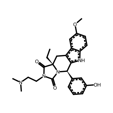 CC[C@@]12Cc3c([nH]c4ccc(OC)cc34)[C@@H](c3cccc(O)c3)N1C(=O)N(CCN(C)C)C2=O